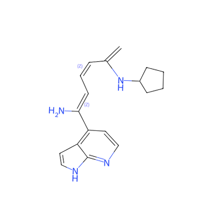 C=C(/C=C\C=C(/N)c1ccnc2[nH]ccc12)NC1CCCC1